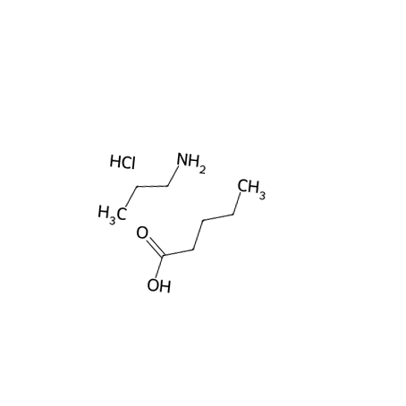 CCCCC(=O)O.CCCN.Cl